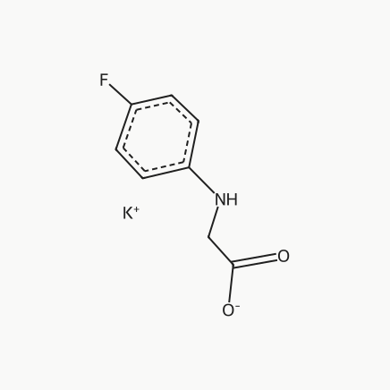 O=C([O-])CNc1ccc(F)cc1.[K+]